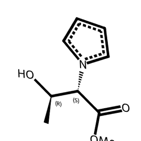 COC(=O)[C@H]([C@@H](C)O)n1cccc1